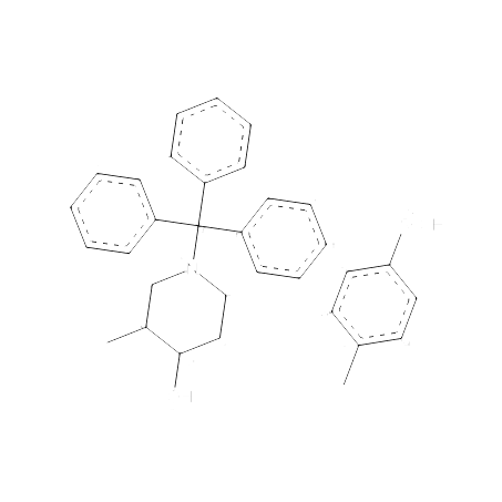 CC1CN(C(c2ccccc2)(c2ccccc2)c2ccccc2)CCC1O.Cc1ccc(S(=O)(=O)O)cc1